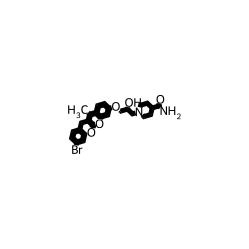 Cc1c(Cc2ccc(Br)cc2)c(=O)oc2cc(OCC(O)CN3CCC(C(N)=O)CC3)ccc12